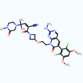 CNc1ncc2cc(-c3c(Cl)c(OC)cc(OC)c3Cl)c(=O)n(CCOC3CN(C(=O)/C(C#N)=C\C(C)(C)N4CCN(C)C(=O)C4)C3)c2n1